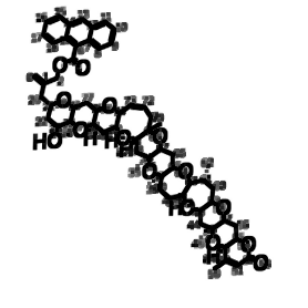 C=C(COC(=O)c1c2ccccc2cc2ccccc12)C[C@@H]1C[C@H](O)[C@]2(C)O[C@@H]3C[C@@H]4O[C@@H]5C[C@]6(C)O[C@]7(C)CC[C@@H]8OC9C[C@]%10(C)O[C@@H]%11C(C)=CC(=O)OC%11CC%10OC9C[C@@H](C)C8OC7CC6O[C@@]5(C)C/C=C\C4OC3CC2O1